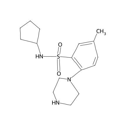 Cc1ccc(N2CCNCC2)c(S(=O)(=O)NC2CCCC2)c1